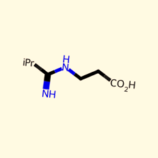 CC(C)C(=N)NCCC(=O)O